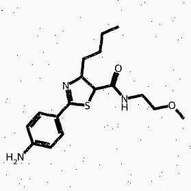 CCCCC1N=C(c2ccc(N)cc2)SC1C(=O)NCCOC